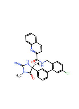 CN1C(=N)NC(C)(c2cccc(-c3cc(Cl)ccc3CNC(=O)c3ccc4ccccc4n3)c2)C1=O